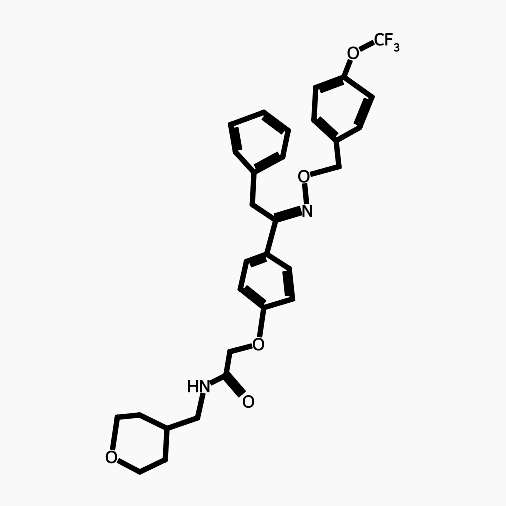 O=C(COc1ccc(/C(Cc2ccccc2)=N/OCc2ccc(OC(F)(F)F)cc2)cc1)NCC1CCOCC1